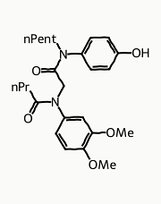 CCCCCN(C(=O)CN(C(=O)CCC)c1ccc(OC)c(OC)c1)c1ccc(O)cc1